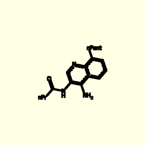 CCCCCc1cccc2c(N)c(NC(=O)CCC)cnc12